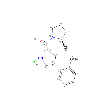 COc1ccccc1[C@@H]1CN[C@H](C(=O)N2CCC[C@H]2C#N)C1.Cl